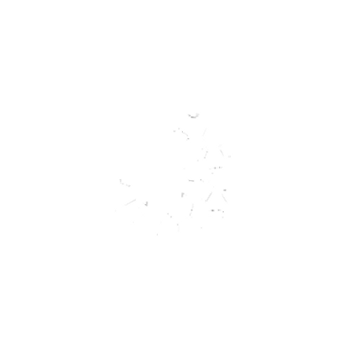 C=CC(=O)N[C@H]1CCC[C@H]1NC(=O)c1sc2nccc3c2c1NC(=O)N3c1cccc(-c2cccnc2)c1